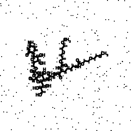 COCCOCCOC(=O)NCCCCC(NC(=O)OCCOCCOC)C(=O)NCC(=O)N[C@H]1C([C@H](O)[C@H](O)CO)O[C@@](C=O)(OP(=O)(O)OCC2OC(n3ccc(N)nc3=O)[C@H](O)[C@@H]2O)C[C@H]1O